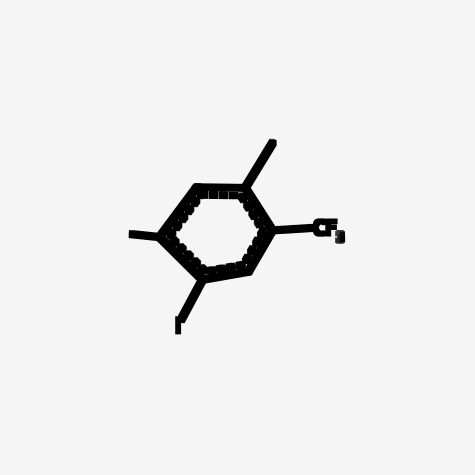 Cc1cc(C)c(C(F)(F)F)cc1I